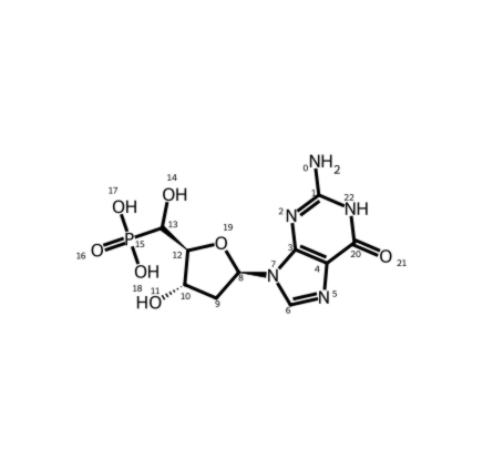 Nc1nc2c(ncn2[C@H]2C[C@H](O)[C@@H](C(O)P(=O)(O)O)O2)c(=O)[nH]1